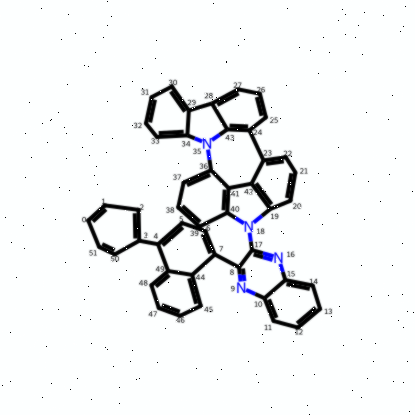 c1ccc(-c2ccc(-c3nc4ccccc4nc3-n3c4cccc5c6cccc7c8ccccc8n(c8cccc3c8c54)c67)c3ccccc23)cc1